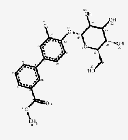 COC(=O)c1cccc(-c2ccc(O[C@H]3O[C@H](CO)[C@@H](O)C(O)C3O)c(Cl)c2)c1